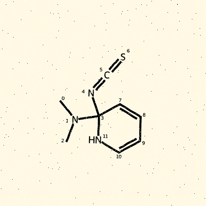 CN(C)C1(N=C=S)C=CC=CN1